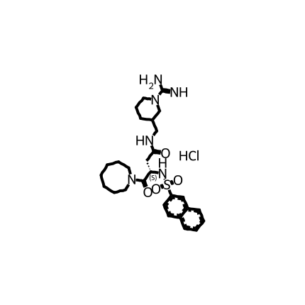 Cl.N=C(N)N1CCCC(CNC(=O)C[C@H](NS(=O)(=O)c2ccc3ccccc3c2)C(=O)N2CCCCCCC2)C1